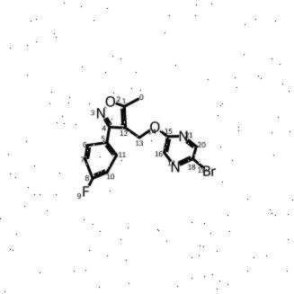 Cc1onc(-c2ccc(F)cc2)c1COc1cnc(Br)cn1